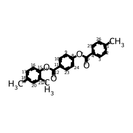 Cc1ccc(C(=O)Oc2ccc(C(=O)Oc3ccc(C)cc3C)cc2)cc1